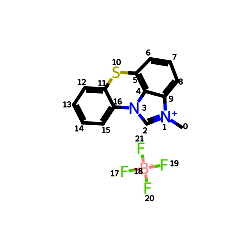 C[n+]1cn2c3c(cccc31)Sc1ccccc1-2.F[B-](F)(F)F